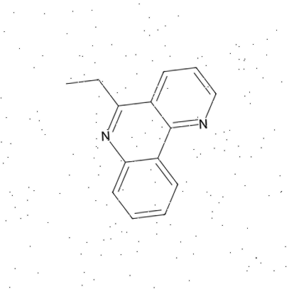 CCc1nc2ccccc2c2ncccc12